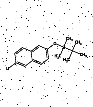 [Li][c]1ccc2cc(O[Si](C)(C)C(C)(C)C)ccc2c1